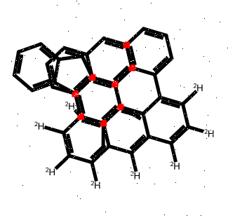 [2H]c1c([2H])c([2H])c2c(-c3cccc4ccccc34)c3c(-c4ccccc4-c4c(C)c(C)cc5c4Cc4ccccc4-5)c([2H])c([2H])c([2H])c3c([2H])c2c1[2H]